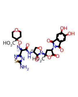 Nc1nc(/C(=N/OC2(C(=O)O)CCOCC2)C(=O)N[C@H]2CON(C3(C(=O)O)CC(N4C(=O)c5cc(O)c(O)cc5C4=O)C(=O)O3)C2=O)ns1